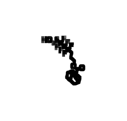 O=C(OCCCC(F)(F)C(F)(F)C(F)(F)S(=O)(=O)O)C12CC3CC(CC(C3)C1)C2